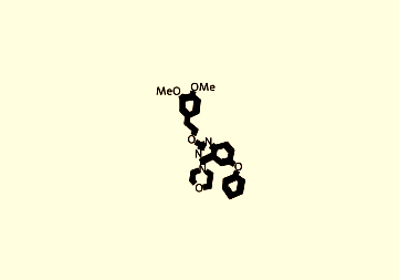 COc1ccc(CCOc2nc(N3CCOCC3)c3cc(Oc4ccccc4)ccc3n2)cc1OC